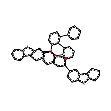 c1ccc(-c2ccccc2-c2c(-c3ccccc3)cccc2N(c2ccc(-c3ccc4sc5ccccc5c4c3)cc2)c2ccc3c(c2)sc2ccccc23)cc1